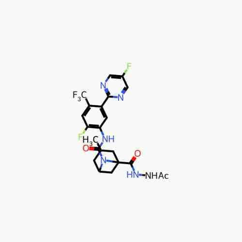 CC(=O)NNC(=O)C12CC(C)CC(C1)N2C(=O)Nc1cc(-c2ncc(F)cn2)c(C(F)(F)F)cc1F